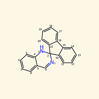 C1=NC2(Nc3ccccc31)c1ccccc1-c1ccccc12